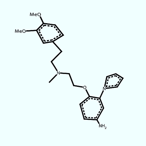 COc1ccc(CCN(C)CCOc2ccc(N)cc2-n2cccc2)cc1OC